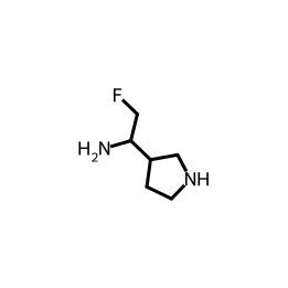 NC(CF)C1CCNC1